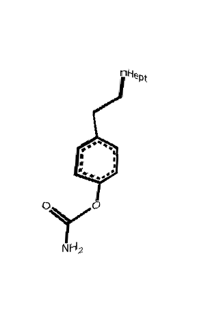 CCCCCCCCCc1ccc(OC(N)=O)cc1